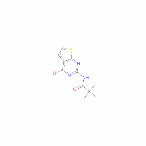 CC(C)(C)C(=O)Nc1nc(O)c2ccsc2n1